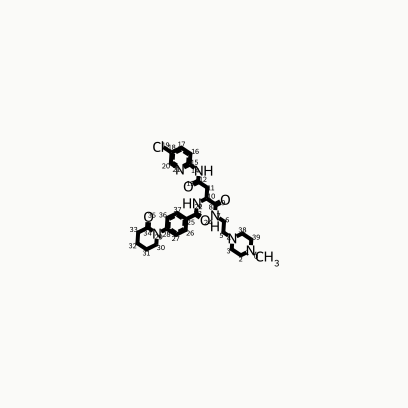 CN1CCN(CCNC(=O)C(CC(=O)Nc2ccc(Cl)cn2)NC(=O)c2ccc(N3CCCCC3=O)cc2)CC1